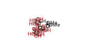 COc1ccc(-c2oc3cc(OC4O[C@H](C)[C@@H](O)[C@H](O)[C@H]4O)cc(OC4O[C@H](CO)[C@@H](O)[C@H](O)[C@H]4O)c3c(=O)c2O)cc1OC